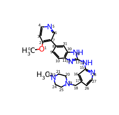 COc1ccncc1-c1ccc2nc(Nc3cc(CN4CCN(C)CC4)ccn3)[nH]c2c1